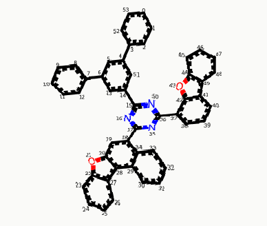 c1ccc(-c2cc(-c3ccccc3)cc(-c3nc(-c4cc5oc6ccccc6c5c5ccccc45)nc(-c4cccc5c4oc4ccccc45)n3)c2)cc1